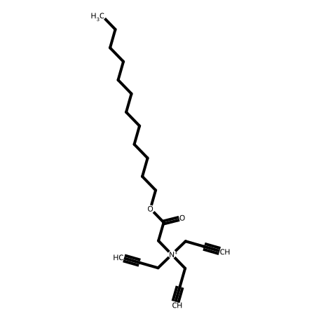 C#CC[N+](CC#C)(CC#C)CC(=O)OCCCCCCCCCCCC